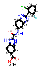 COC(=O)c1ccc2[nH]c(C(=O)Nc3ccc4[nH]c(-c5c(F)cccc5Cl)nc4c3)nc2c1